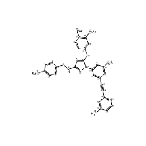 COc1ccc(CNc2nc(Cc3ccc(OC)c(OC)c3)n(-c3cc(C#Cc4cc(C)ccn4)nc(C)n3)n2)cc1